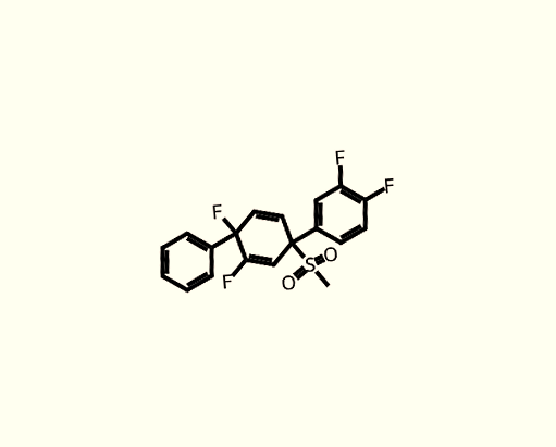 CS(=O)(=O)C1(c2ccc(F)c(F)c2)C=CC(F)(c2ccccc2)C(F)=C1